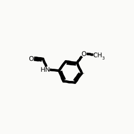 COc1[c]ccc(NC=O)c1